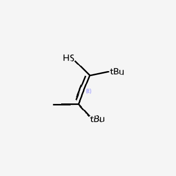 C/C(=C(\S)C(C)(C)C)C(C)(C)C